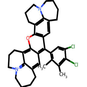 Cc1c(C2=c3cc4c5c(c3Oc3c2cc2c6c3CCCN6CCCC2)CCC[N+]=5CCCC4)cc(Cl)c(Cl)c1C